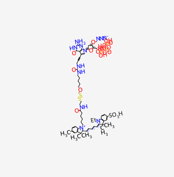 CCN1\C(=C/C=C/C=C/C2=[N+](CCCCCC(=O)NCCSSCOCCCCCNC(=O)NCC#Cc3cn([C@H]4C[C@H](OCN=[N+]=[N-])[C@@H](COP(=O)(O)OP(=O)(O)OP(=O)(O)O)O4)c4nc(N)[nH]c(=O)c34)c3ccc(C)cc3C2(C)C)C(C)(C)c2cc(S(=O)(=O)O)ccc21